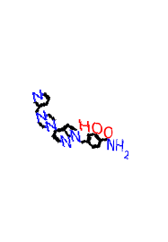 NC(=O)c1ccc(Cn2ccc3c(N4CCN(Cc5cccnc5)CC4)ccnc32)cc1O